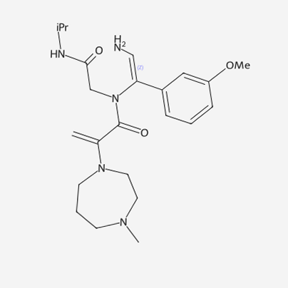 C=C(C(=O)N(CC(=O)NC(C)C)/C(=C\N)c1cccc(OC)c1)N1CCCN(C)CC1